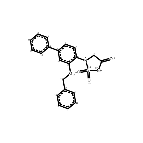 O=C1CN(c2ccc(-c3ccccc3)cc2OCc2ccccc2)S(=O)(=O)N1